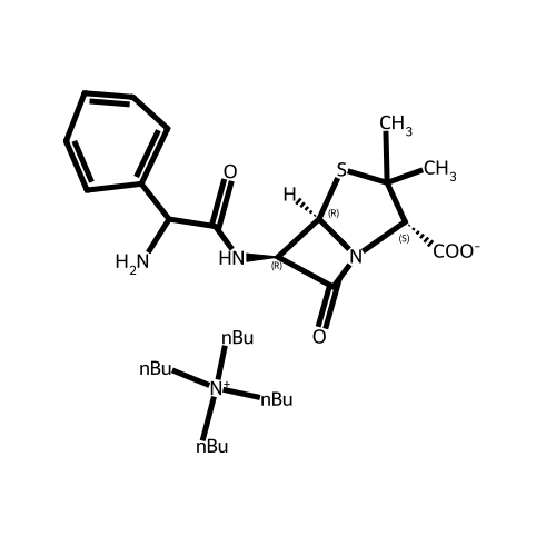 CC1(C)S[C@@H]2[C@H](NC(=O)C(N)c3ccccc3)C(=O)N2[C@H]1C(=O)[O-].CCCC[N+](CCCC)(CCCC)CCCC